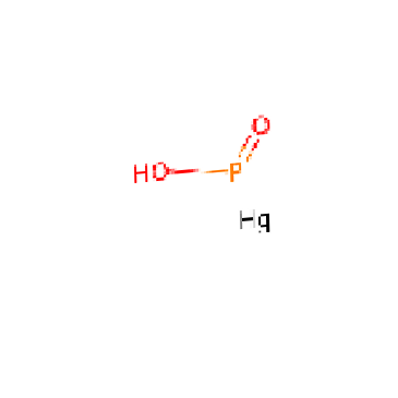 O=PO.[Hg]